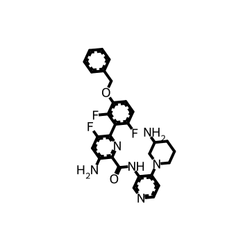 Nc1cc(F)c(-c2c(F)ccc(OCc3ccccc3)c2F)nc1C(=O)Nc1cnccc1N1CCCC(N)C1